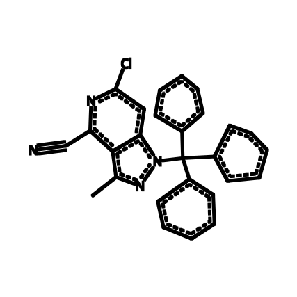 Cc1nn(C(c2ccccc2)(c2ccccc2)c2ccccc2)c2cc(Cl)nc(C#N)c12